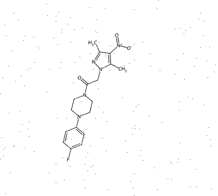 Cc1nn(CC(=O)N2CCN(c3ccc(F)cc3)CC2)c(C)c1[N+](=O)[O-]